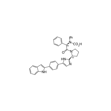 CC(C)N(C(=O)O)[C@@H](C(=O)N1CCC[C@H]1c1ncc(-c2ccc(-c3cc4ccccc4[nH]3)cc2)[nH]1)c1ccccc1